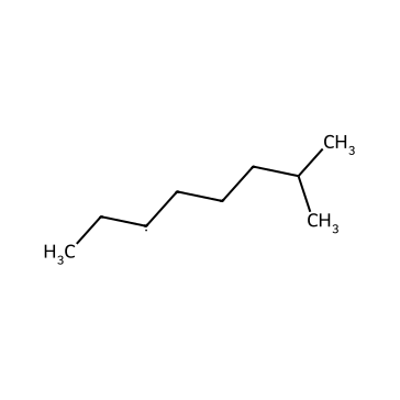 CC[CH]CCCC(C)C